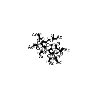 CC(=O)CC(=O)OC[C@H]1O[C@@H](O[C@@H]2[C@@H](COC(=O)CC(C)=O)O[C@@](COC(=O)CC(C)=O)(OC(=O)CC(C)=O)[C@H]2OC(=O)CC(C)=O)[C@H](OC(=O)CC(C)=O)[C@@H](OC(=O)CC(C)=O)[C@H]1OC(=O)CC(C)=O